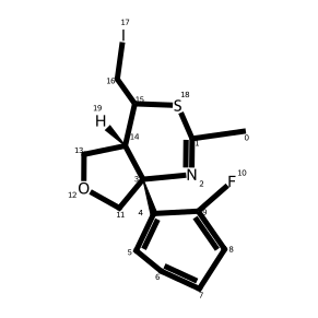 CC1=N[C@]2(c3ccccc3F)COC[C@@H]2C(CI)S1